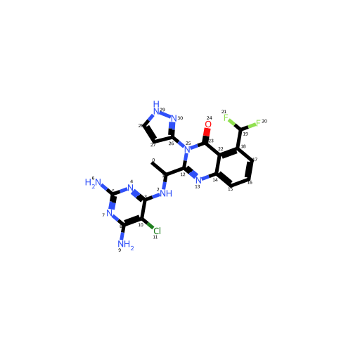 CC(Nc1nc(N)nc(N)c1Cl)c1nc2cccc(C(F)F)c2c(=O)n1-c1cc[nH]n1